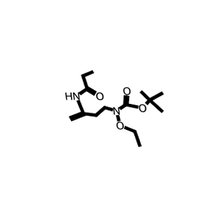 C=C(CCN(OCC)C(=O)OC(C)(C)C)NC(=O)CC